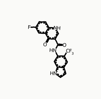 O=C(Nc1cc2[nH]ccc2cc1C(F)(F)F)c1c[nH]c2ccc(F)cc2c1=O